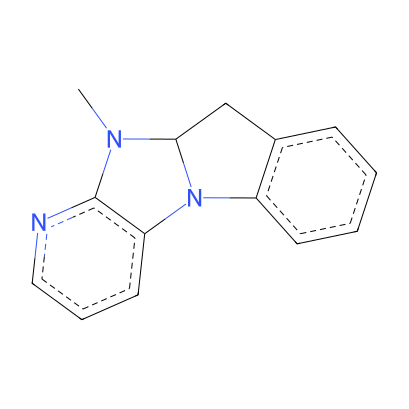 CN1c2ncccc2N2c3ccccc3CC12